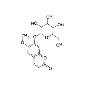 COc1cc2ccc(=O)oc2cc1OC1OC(CO)C(O)C(O)C1O